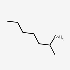 CCCCCC(C)[AsH2]